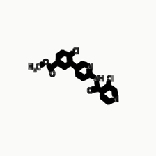 COC(=O)c1ccc(Cl)c(-c2ccc(NC(=O)c3ccncc3Cl)nc2)c1